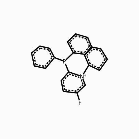 Fc1ccc(P(c2ccccc2)c2ccccc2)[n+](-c2ccccc2)c1